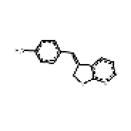 Nc1ccc(C=C2CNc3ncccc32)cc1